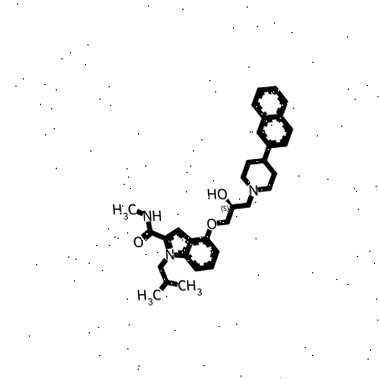 CNC(=O)c1cc2c(OC[C@@H](O)CN3CCC(c4ccc5ccccc5c4)CC3)cccc2n1CC(C)C